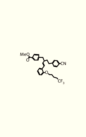 COC(=O)c1ccc(CC(/C=C/c2ccccc2OCCCCC(F)(F)F)CCc2ccc(C#N)cc2)cc1